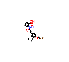 Cc1cc(/C=C/C(=O)Nc2ccccc2C(=O)O)ccc1OCCBr